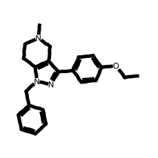 CCOc1ccc(-c2nn(Cc3ccccc3)c3c2CN(C)CC3)cc1